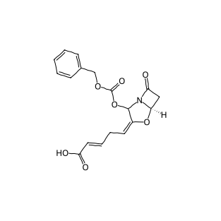 O=C(O)C=CCC=C1O[C@@H]2CC(=O)N2C1OC(=O)OCc1ccccc1